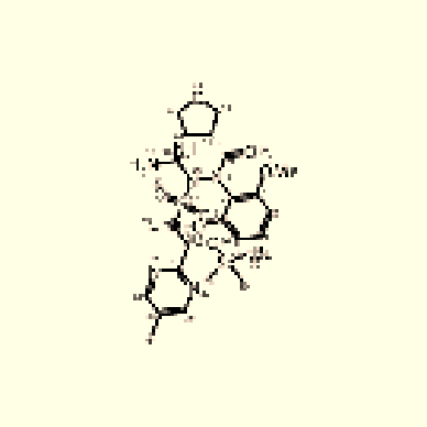 COc1cccc(OC)c1N(C(=O)[C@@H]1CCOC1)N(C(=N)N)S(=O)(=O)[C@@H](C)[C@H](O[Si](C)(C)C(C)(C)C)c1ncc(C)cn1